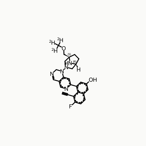 [2H]C([2H])([2H])OC[C@]12CC[C@H](CN(N3CN=Cc4cnc(-c5cc(O)cc6ccc(F)c(C#C)c56)cc43)C1)N2